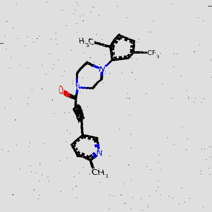 Cc1ccc(C#CC(=O)N2CCN(c3cc(C(F)(F)F)ccc3C)CC2)cn1